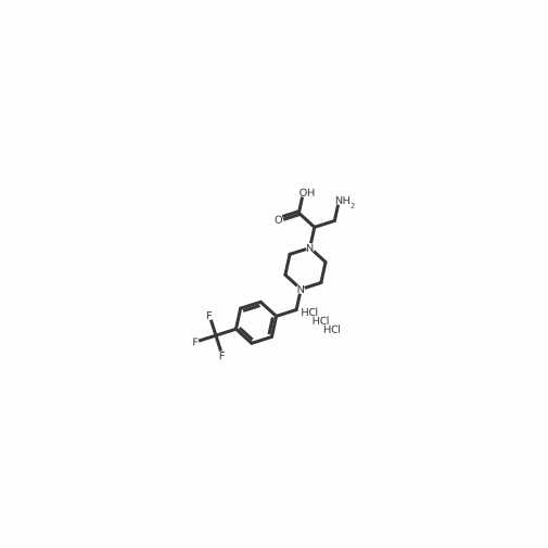 Cl.Cl.Cl.NCC(C(=O)O)N1CCN(Cc2ccc(C(F)(F)F)cc2)CC1